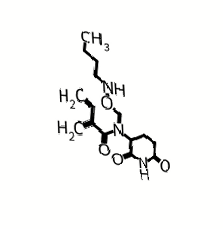 C=CC(=C)C(=O)N(CONCCCC)C1CCC(=O)NC1=O